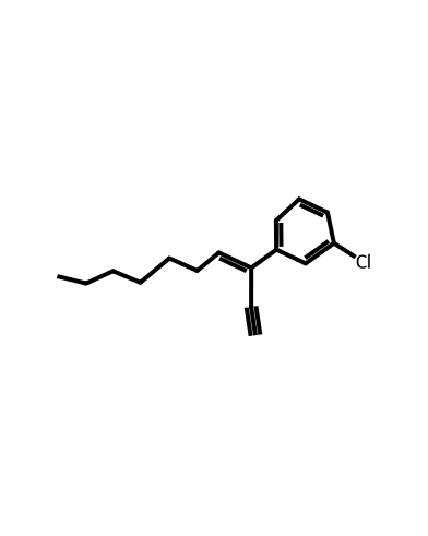 C#C/C(=C\CCCCCC)c1cccc(Cl)c1